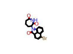 O=C1CCCC(N2C(=O)c3ccc(Br)c4cccc2c34)C(=O)N1